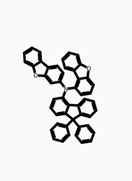 c1ccc(C2(c3ccccc3)c3ccccc3-c3c(N(c4ccc5c(c4)oc4ccccc45)c4cccc5oc6ccccc6c45)cccc32)cc1